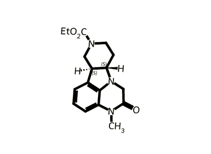 CCOC(=O)N1CC[C@H]2[C@H](C1)c1cccc3c1N2CC(=O)N3C